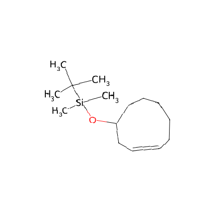 CC(C)(C)[Si](C)(C)OC1CC=CCCCCC1